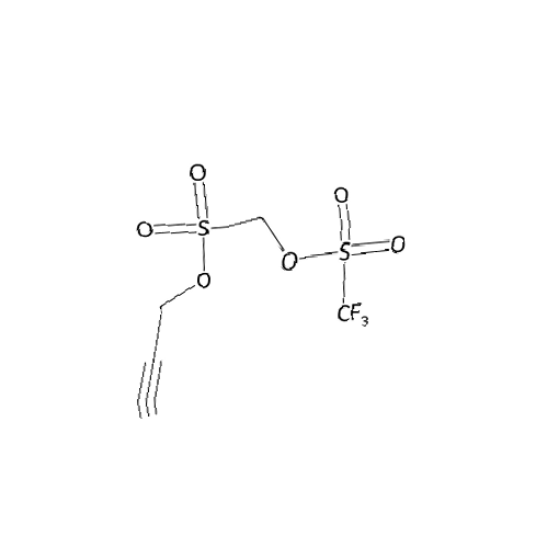 C#CCOS(=O)(=O)COS(=O)(=O)C(F)(F)F